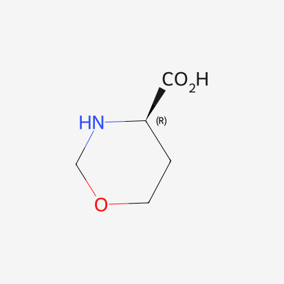 O=C(O)[C@H]1CCOCN1